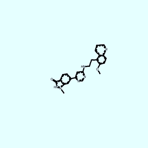 COc1ccc2ncccc2c1CCNc1cc(-c2ccc3c(=O)[nH]n(C)c3c2)ncn1